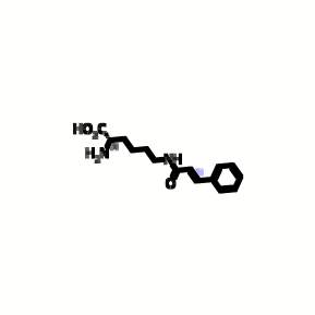 N[C@@H](CCCCNC(=O)/C=C/c1ccccc1)C(=O)O